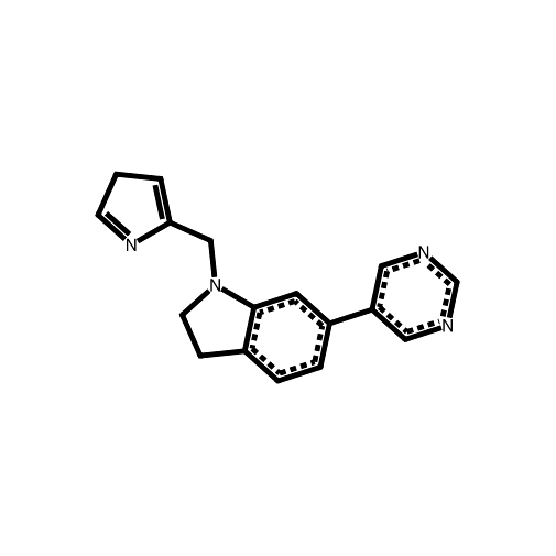 C1=NC(CN2CCc3ccc(-c4cncnc4)cc32)=CC1